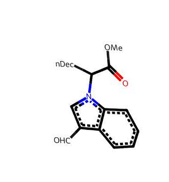 CCCCCCCCCCC(C(=O)OC)n1cc(C=O)c2ccccc21